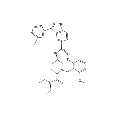 CCN(CC)C(=O)[C@@H]1CC[C@@H](NC(=O)c2ccc3[nH]nc(-c4ccnc(C)c4)c3c2)CN1Cc1c(F)cccc1OC